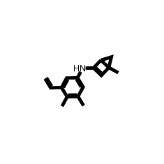 C=Cc1cc(NC2=CC3(C)CC23)cc(C)c1C